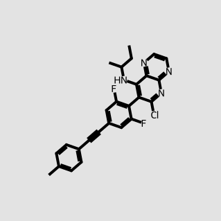 CCC(C)Nc1c(-c2c(F)cc(C#Cc3ccc(C)cc3)cc2F)c(Cl)nc2nccnc12